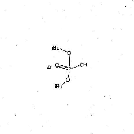 CCC(C)OP(=O)(O)OC(C)CC.[Zn]